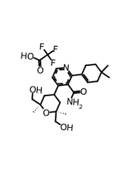 CC1(C)CC=C(c2nccc(C3C[C@](C)(CO)O[C@](C)(CO)C3)c2C(N)=O)CC1.O=C(O)C(F)(F)F